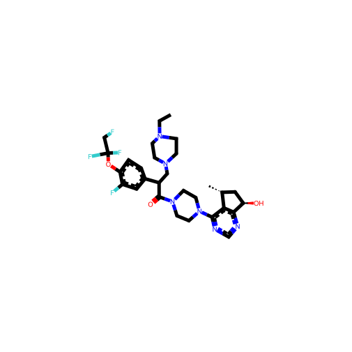 CCN1CCN(CC(C(=O)N2CCN(c3ncnc4c3[C@H](C)C[C@H]4O)CC2)c2ccc(OC(F)(F)CF)c(F)c2)CC1